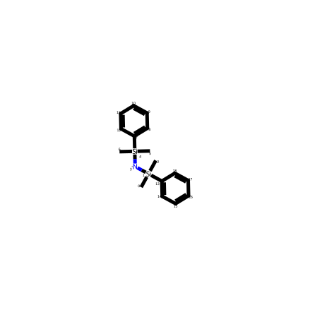 C[Si](C)([N][Si](C)(C)c1ccccc1)c1ccccc1